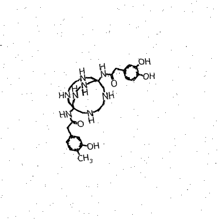 Cc1ccc(CC(=O)NC23CNCCNCC(NC(=O)Cc4ccc(O)c(O)c4)(CNCCNC2)CNCCNC3)cc1O